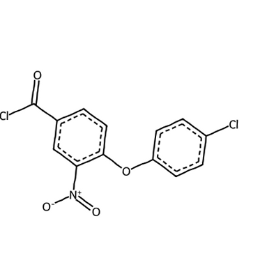 O=C(Cl)c1ccc(Oc2ccc(Cl)cc2)c([N+](=O)[O-])c1